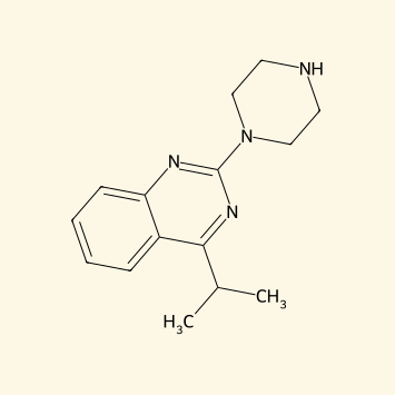 CC(C)c1nc(N2CCNCC2)nc2ccccc12